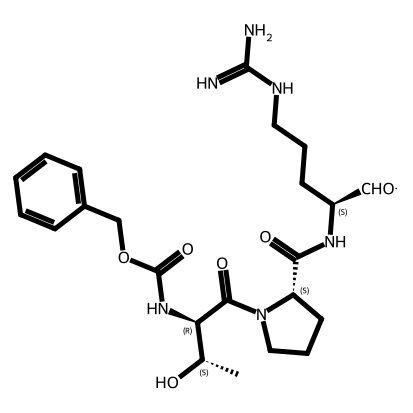 C[C@H](O)[C@@H](NC(=O)OCc1ccccc1)C(=O)N1CCC[C@H]1C(=O)N[C@H]([C]=O)CCCNC(=N)N